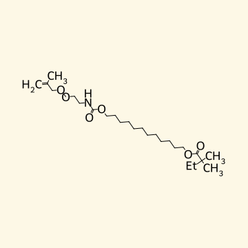 C=C(C)COOCCNC(=O)OCCCCCCCCCCCCOC(=O)C(C)(C)CC